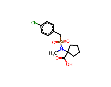 CN(C1(C(=O)O)CCCC1)S(=O)(=O)Cc1ccc(Cl)cc1